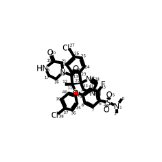 CN(C)S(=O)(=O)c1ccc(OC(C)(C(=O)N2CCNC(=O)C2)[C@@]2(c3ccc(Cl)cc3)[N+]#CN[C@@H]2c2ccc(Cl)cc2)cc1F